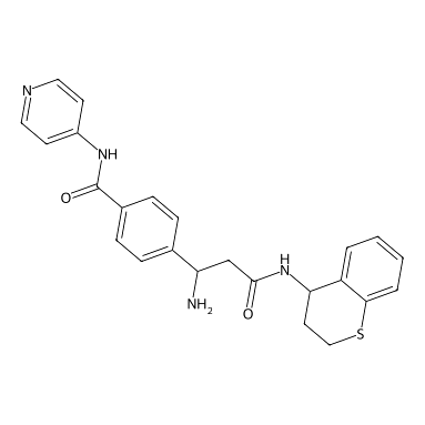 NC(CC(=O)NC1CCSc2ccccc21)c1ccc(C(=O)Nc2ccncc2)cc1